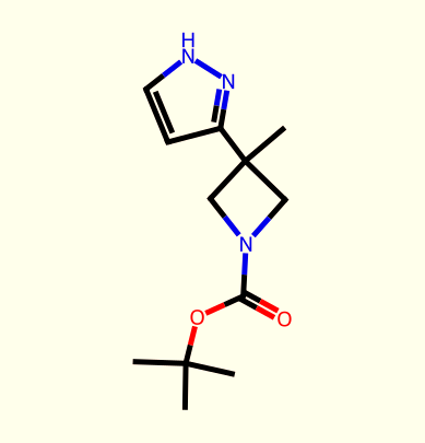 CC(C)(C)OC(=O)N1CC(C)(c2cc[nH]n2)C1